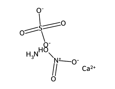 N.O=S(=O)([O-])[O-].O=[N+]([O-])O.[Ca+2]